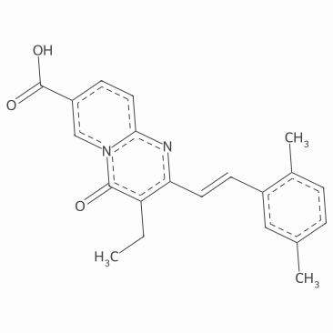 CCc1c(/C=C/c2cc(C)ccc2C)nc2ccc(C(=O)O)cn2c1=O